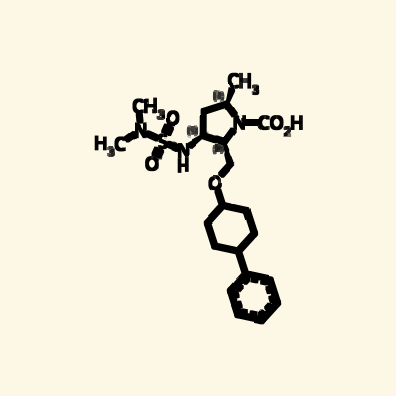 C[C@@H]1C[C@H](NS(=O)(=O)N(C)C)[C@H](COC2CCC(c3ccccc3)CC2)N1C(=O)O